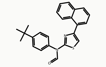 CC(C)(C)c1ccc(N(C=O)c2nc(-c3cccc4ccccc34)cs2)cc1